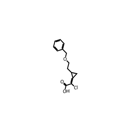 O=C(O)C(Cl)=C1CC1CCOCc1ccccc1